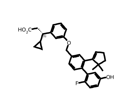 CC1(C)CCC=C1c1cc(COc2cccc([C@@H](CC(=O)O)C3CC3)c2)ccc1-c1cc(O)ccc1F